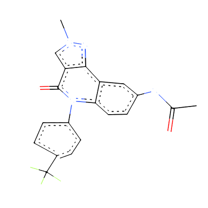 CC(=O)Nc1ccc2c(c1)c1nn(C)cc1c(=O)n2-c1ccc(C(F)(F)F)cc1